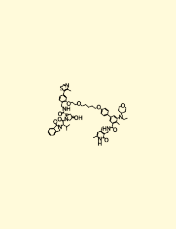 CCN(c1cc(-c2ccc(OCCCCCOCCOc3cc(-c4scnc4C)ccc3CNC(=O)[C@@H]3C[C@@H](O)CN3C(=O)C(C(C)C)N3Cc4ccccc4C3=O)cc2)cc(C(=O)NCc2c(C)cc(C)[nH]c2=O)c1C)C1CCOCC1